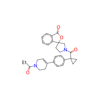 CCC(=O)N1CC=C(c2ccc(C3(C(=O)N4CCC5(C4)OC(=O)c4ccccc45)CC3)cc2)CC1